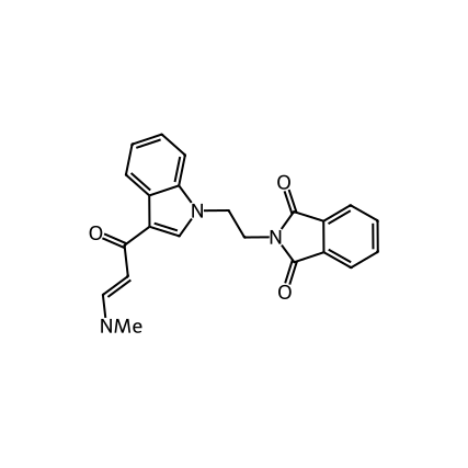 CNC=CC(=O)c1cn(CCN2C(=O)c3ccccc3C2=O)c2ccccc12